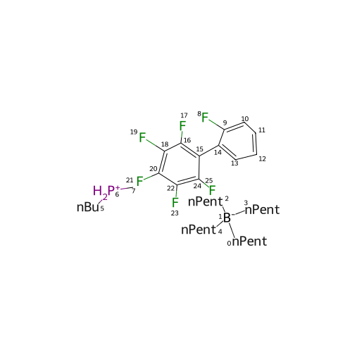 CCCCC[B-](CCCCC)(CCCCC)CCCCC.CCCC[PH2+]C.Fc1ccccc1-c1c(F)c(F)c(F)c(F)c1F